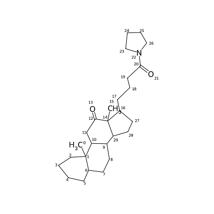 CC12CCCCC1CCC1C2CC(=O)C2(C)C(CCCC(=O)N3CCCC3)CCC12